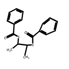 CC(SC(=O)c1ccccc1)C(C)SC(=O)c1ccccc1